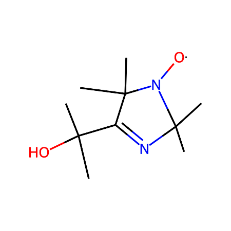 CC(C)(O)C1=NC(C)(C)N([O])C1(C)C